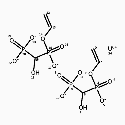 C=COP(=O)([O-])C(O)P(=O)([O-])[O-].C=COP(=O)([O-])C(O)P(=O)([O-])[O-].[U+6]